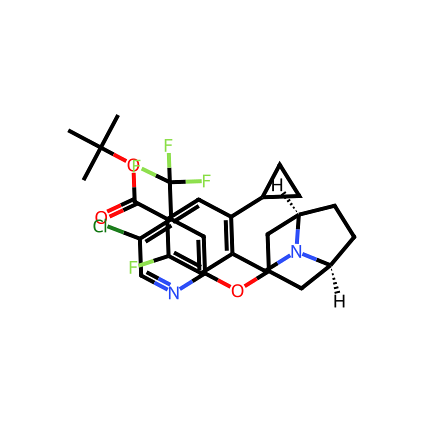 CC(C)(C)OC(=O)c1cc(C2CC2)c(CN2[C@@H]3CC[C@H]2CC(Oc2cc(C(F)(F)F)c(Cl)cn2)C3)cc1F